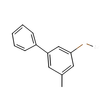 CC(=O)Sc1cc(C)cc(-c2ccccc2)c1